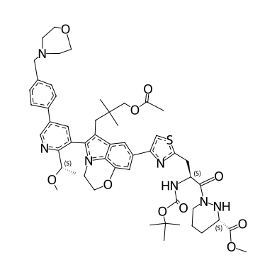 COC(=O)[C@@H]1CCCN(C(=O)[C@H](Cc2nc(-c3cc4c5c(c3)c(CC(C)(C)COC(C)=O)c(-c3cc(-c6ccc(CN7CCOCC7)cc6)cnc3[C@H](C)OC)n5CCO4)cs2)NC(=O)OC(C)(C)C)N1